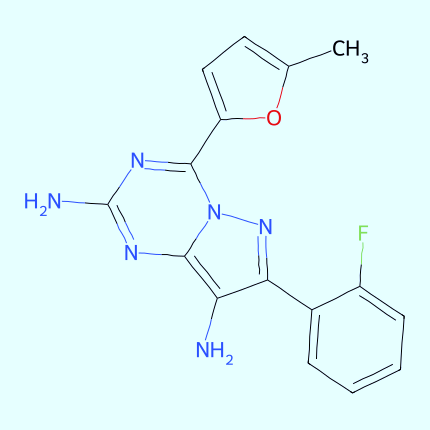 Cc1ccc(-c2nc(N)nc3c(N)c(-c4ccccc4F)nn23)o1